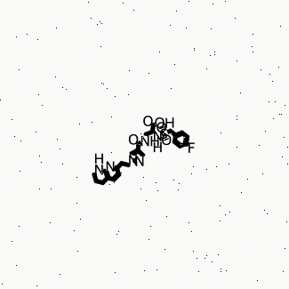 O=C(NCC(NS(=O)(=O)Cc1ccc(F)cc1)C(=O)O)c1cnn(CCc2ccc3c(n2)NCCC3)c1